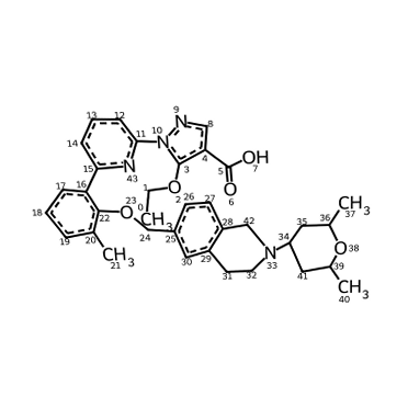 CCOc1c(C(=O)O)cnn1-c1cccc(-c2cccc(C)c2OCc2ccc3c(c2)CCN(C2CC(C)OC(C)C2)C3)n1